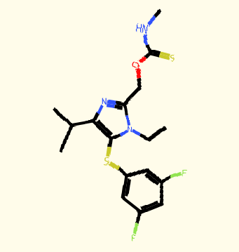 CCn1c(COC(=S)NC)nc(C(C)C)c1Sc1cc(F)cc(F)c1